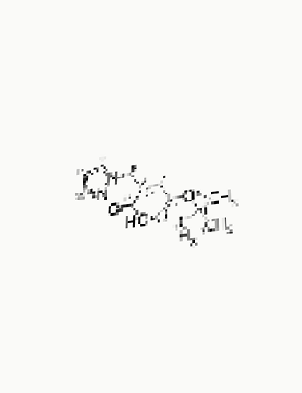 CC(C)(C)OC(=O)C[C@@H](Cn1cccn1)C(=O)O